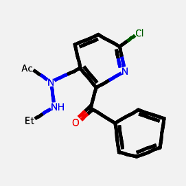 CCNN(C(C)=O)c1ccc(Cl)nc1C(=O)c1ccccc1